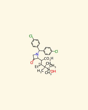 CC[C@@H](C(C(=O)O)C1C(=O)CN1C(c1ccc(Cl)cc1)c1ccc(Cl)cc1)C(C)(C)[Si](C)(C)O